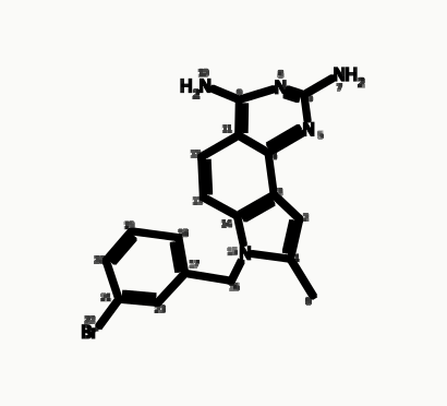 Cc1cc2c3nc(N)nc(N)c3ccc2n1Cc1cccc(Br)c1